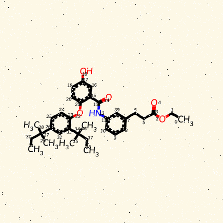 CCOC(=O)CCc1cccc(NC(=O)c2cc(O)ccc2Oc2ccc(C(C)(C)CC)cc2C(C)(C)CC)c1